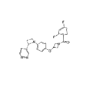 O=C(c1ccc(F)cc1F)N1CC(Oc2ccc(N3CCC3c3ccnnc3)cc2)C1